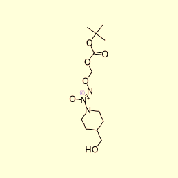 CC(C)(C)OC(=O)OCO/N=[N+](\[O-])N1CCC(CO)CC1